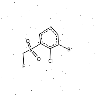 O=S(=O)(CF)c1cccc(Br)c1Cl